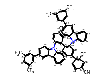 N#Cc1ccc(-n2c3ccccc3c3cc(-c4cc(C(F)(F)F)cc(C(F)(F)F)c4)ccc32)c(-c2ccc(-c3ccc(C#N)cc3C(F)(F)F)cc2-n2c3ccccc3c3cc(-c4cc(C(F)(F)F)cc(C(F)(F)F)c4)ccc32)c1